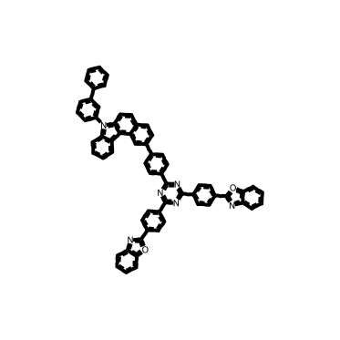 c1ccc(-c2cccc(-n3c4ccccc4c4c5cc(-c6ccc(-c7nc(-c8ccc(-c9nc%10ccccc%10o9)cc8)nc(-c8ccc(-c9nc%10ccccc%10o9)cc8)n7)cc6)ccc5ccc43)c2)cc1